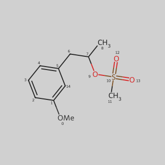 COc1cccc(CC(C)OS(C)(=O)=O)c1